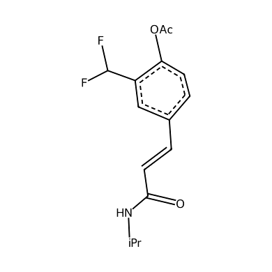 CC(=O)Oc1ccc(/C=C/C(=O)NC(C)C)cc1C(F)F